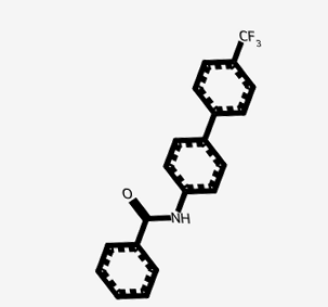 O=C(Nc1ccc(-c2ccc(C(F)(F)F)cc2)cc1)c1ccccc1